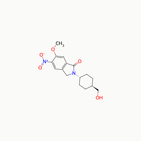 COc1cc2c(cc1[N+](=O)[O-])CN([C@H]1CC[C@H](CO)CC1)C2=O